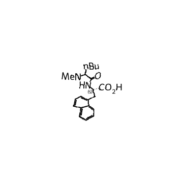 CCCCC(NC)C(=O)N[C@@H](Cc1cccc2ccccc12)C(=O)O